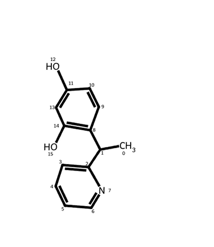 CC(c1ccccn1)c1ccc(O)cc1O